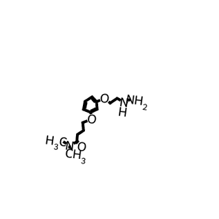 CN(C)C(=O)CCCOc1cccc(OCCNN)c1